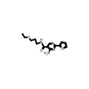 CCOCCCNC(=O)c1cnc(-c2ccco2)nc1N